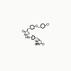 O=C1CN(Cc2ccc(NC3=NC(=O)/C(=C/c4ccc(OCc5ccc(Cl)cc5)cc4)S3)cc2)S(=O)(=O)N1